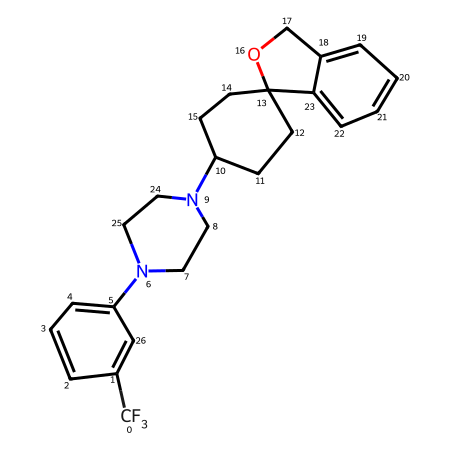 FC(F)(F)c1cccc(N2CCN(C3CCC4(CC3)OCc3ccccc34)CC2)c1